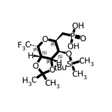 CC1(C)O[C@H]2[C@H](O[Si](C)(C)C(C)(C)C)[C@H](CP(=O)(O)O)O[C@@H](C(F)(F)F)[C@H]2O1